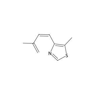 C=C(C)/C=C\c1ncsc1C